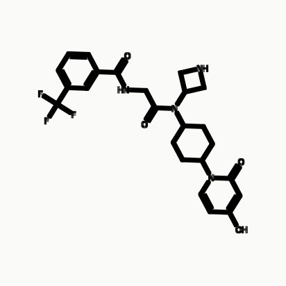 O=C(NCC(=O)N(C1CCC(n2ccc(O)cc2=O)CC1)C1CNC1)c1cccc(C(F)(F)F)c1